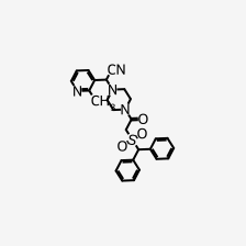 Cc1ncccc1C(C#N)N1CCN(C(=O)CS(=O)(=O)C(c2ccccc2)c2ccccc2)CC1